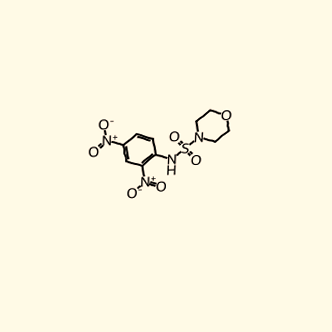 O=[N+]([O-])c1ccc(NS(=O)(=O)N2CCOCC2)c([N+](=O)[O-])c1